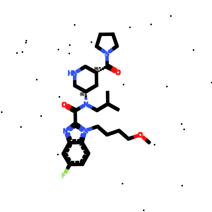 COCCCCn1c(C(=O)N(CC(C)C)[C@@H]2CNC[C@H](C(=O)N3CCCC3)C2)nc2cc(F)ccc21